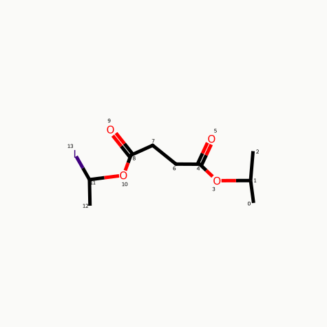 CC(C)OC(=O)CCC(=O)OC(C)I